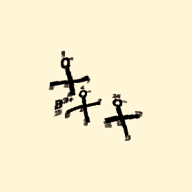 CC(C)(C)[O-].CC(C)(C)[O-].CC(C)(C)[O-].[B+3]